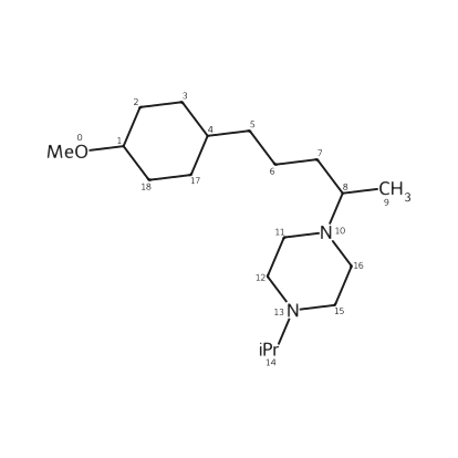 COC1CCC(CCCC(C)N2CCN(C(C)C)CC2)CC1